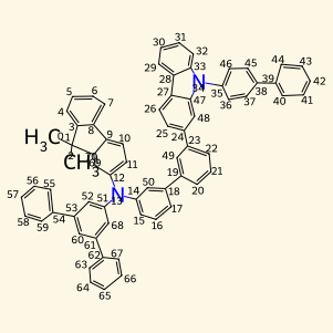 CC1(C)c2ccccc2-c2ccc(N(c3cccc(-c4cccc(-c5ccc6c7ccccc7n(-c7ccc(-c8ccccc8)cc7)c6c5)c4)c3)c3cc(-c4ccccc4)cc(-c4ccccc4)c3)cc21